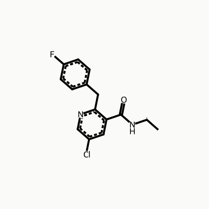 C[CH]NC(=O)c1cc(Cl)cnc1Cc1ccc(F)cc1